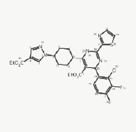 CCOC(=O)C1=C([C@H]2CC[C@H](n3cc(C(=O)OCC)cn3)CC2)NC(c2nccs2)=NC1c1ccc(F)c(F)c1Cl